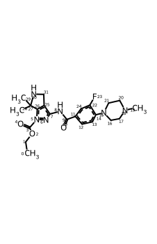 CCOC(=O)n1nc(NC(=O)c2ccc(N3CCN(C)CC3)c(F)c2)c2c1C(C)(C)NC2